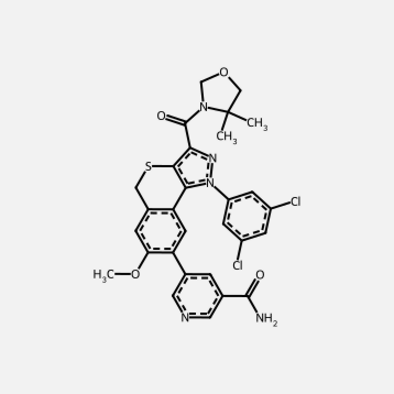 COc1cc2c(cc1-c1cncc(C(N)=O)c1)-c1c(c(C(=O)N3COCC3(C)C)nn1-c1cc(Cl)cc(Cl)c1)SC2